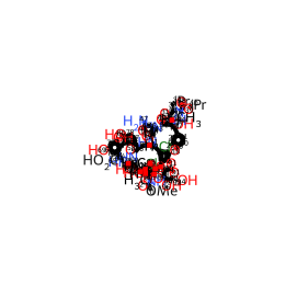 COC(=O)N[C@@]1(C)C[C@H](O[C@H]2[C@H](Oc3c4cc5cc3Oc3ccc(cc3Cl)[C@@H](O)[C@@H](NC(=O)[C@@H](CC(C)C)N(C)C(=O)OC(C)C)C(=O)N[C@@H](CC(N)=O)C(=O)N[C@H]5C(=O)CC3C(=O)N[C@H](C(=O)N[C@@H](C(=O)O)c5cc(O)cc(O)c5-c5cc3ccc5O)[C@H](O)c3ccc(c(Cl)c3)C4)O[C@H](CO)[C@@H](O)[C@@H]2O)O[C@@H](C)[C@H]1O